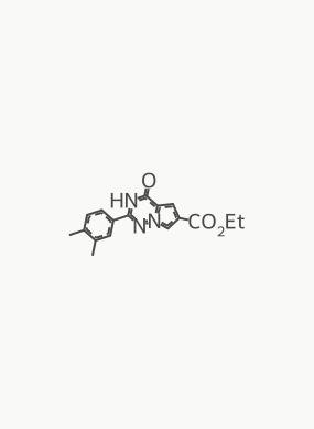 CCOC(=O)c1cc2c(=O)[nH]c(-c3ccc(C)c(C)c3)nn2c1